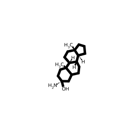 C[C@@]12CCC[C@H]1[C@@H]1CCC3C[C@@](N)(O)CC[C@]3(C)[C@H]1CC2